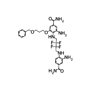 NC(=O)c1ccc(NCC(F)(F)C(F)(F)CNc2c(N)cc(C(N)=O)cc2OCCCOCc2ccccc2)c(N)c1